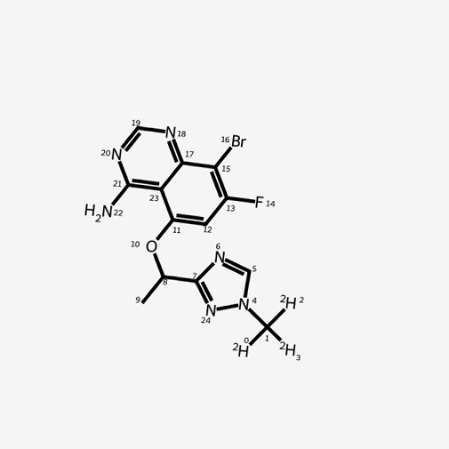 [2H]C([2H])([2H])n1cnc(C(C)Oc2cc(F)c(Br)c3ncnc(N)c23)n1